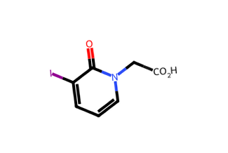 O=C(O)Cn1cccc(I)c1=O